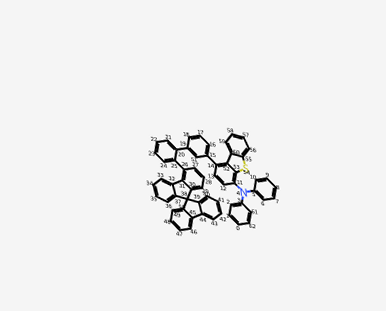 c1ccc(N(c2ccccc2)c2ccc(-c3cccc(-c4ccccc4-c4cccc5c4-c4ccccc4C54c5ccccc5-c5ccccc54)c3)c3c2sc2ccccc23)cc1